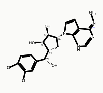 N/N=c1/nc[nH]c2c1ccn2[C@@H]1C[C@H]([C@H](O)c2ccc(Cl)c(Cl)c2)[C@@H](O)[C@H]1O